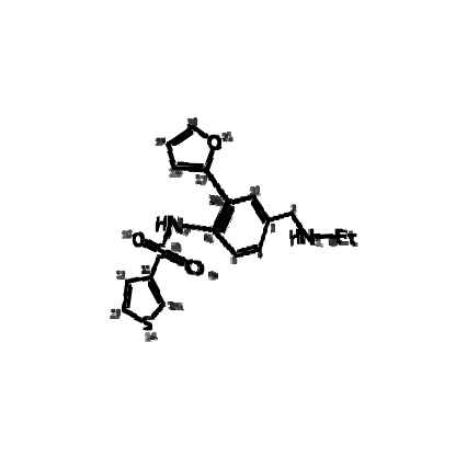 CCNCc1ccc(NS(=O)(=O)c2ccsc2)c(-c2ccco2)c1